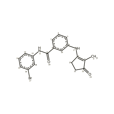 CC1=C(Nc2cccc(C(=O)Nc3cccc(Br)c3)c2)CCC1=O